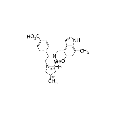 COc1cc(C)c2[nH]ccc2c1CN1C[C@@H]2C[C@@H](C)CN2CC1c1ccc(C(=O)O)cc1